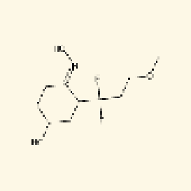 COCCC(F)(F)C1CC(O)CCC1=NO